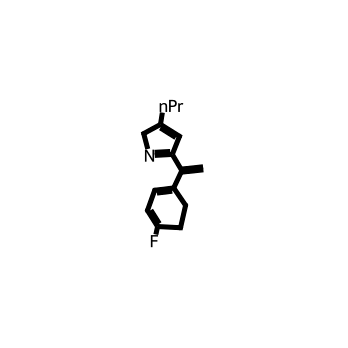 C=C(C1=CC=C(F)CC1)C1=NCC(CCC)=C1